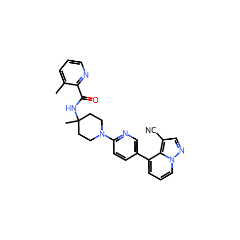 Cc1cccnc1C(=O)NC1(C)CCN(c2ccc(-c3cccn4ncc(C#N)c34)cn2)CC1